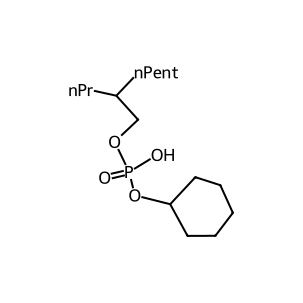 CCCCCC(CCC)COP(=O)(O)OC1CCCCC1